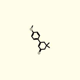 COc1ccc(C2=CC(=O)CC(C)(C)C2)cc1